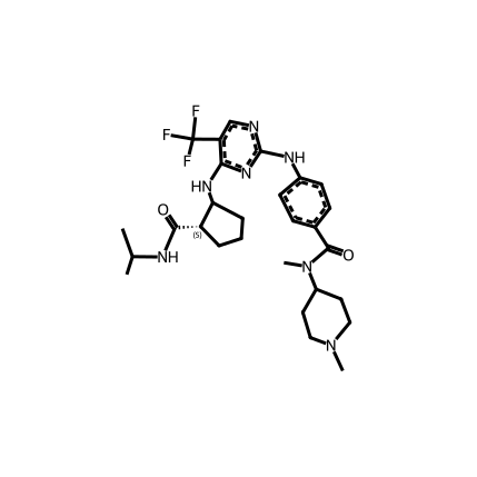 CC(C)NC(=O)[C@H]1CCCC1Nc1nc(Nc2ccc(C(=O)N(C)C3CCN(C)CC3)cc2)ncc1C(F)(F)F